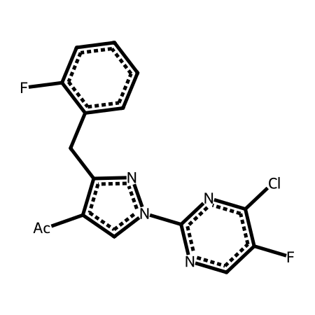 CC(=O)c1cn(-c2ncc(F)c(Cl)n2)nc1Cc1ccccc1F